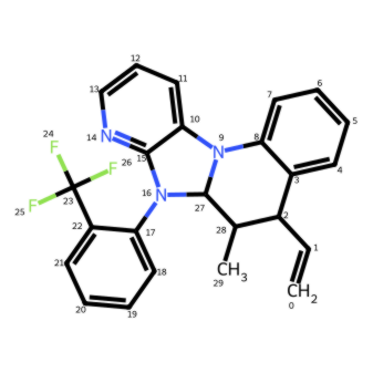 C=CC1c2ccccc2N2c3cccnc3N(c3ccccc3C(F)(F)F)C2C1C